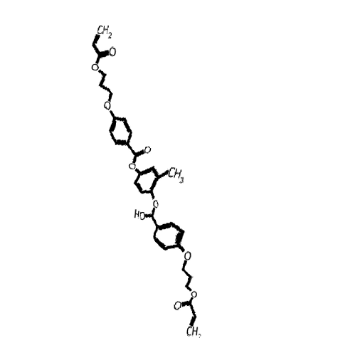 C=CC(=O)OCCCOc1ccc(C(=O)Oc2ccc(OC(O)c3ccc(OCCCOC(=O)C=C)cc3)c(C)c2)cc1